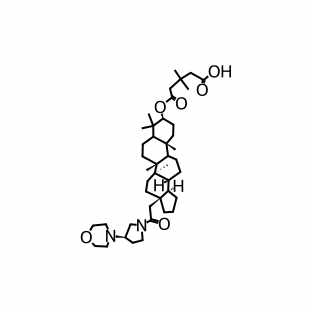 CC(C)(CC(=O)O)CC(=O)O[C@H]1CC[C@@]2(C)C(CC[C@]3(C)C2CC[C@@H]2[C@H]4CCC[C@]4(CC(=O)N4CC[C@@H](N5CCOCC5)C4)CC[C@]23C)C1(C)C